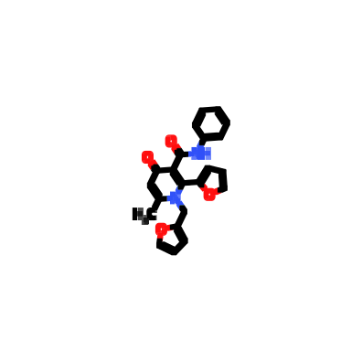 Cc1cc(=O)c(C(=O)Nc2ccccc2)c(-c2ccco2)n1Cc1ccco1